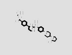 CCOC(=O)c1ccc(-c2ccnc(Nc3ccc(N4CCC(N5CCCC5=O)CC4)cc3)n2)cc1